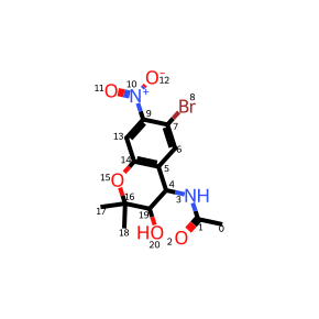 CC(=O)NC1c2cc(Br)c([N+](=O)[O-])cc2OC(C)(C)C1O